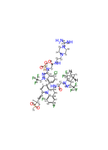 CC(C)(C#Cc1ccc(-c2ccc(Cl)c3c(N(CC(=O)NCCN4CCN(C(=N)N)CC4)[SH](=O)=O)nn(CC(F)(F)F)c23)c(C(Cc2cc(F)cc(F)c2)NC(=O)Cn2nc(C(F)(F)F)c3c2C(F)(F)[C@@H]2C[C@H]32)n1)S(C)(=O)=O